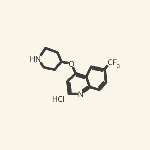 Cl.FC(F)(F)c1ccc2nccc(OC3CCNCC3)c2c1